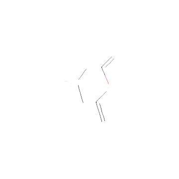 C=COC=C.C[SiH2]C